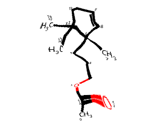 CC(=O)OCC[C@@]1(C)C=CCC1(C)C